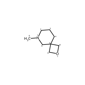 CN1CCCC2(COC2)C1